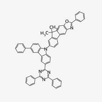 CC1(C)c2cc(-n3c4ccc(-c5ccccc5)cc4c4cc(-c5nc(-c6ccccc6)nc(-c6ccccc6)n5)ccc43)ccc2-c2cc3nc(-c4ccccc4)oc3cc21